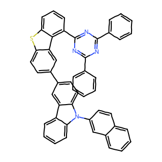 c1ccc(-c2nc(-c3ccccc3)nc(-c3cccc4sc5ccc(-c6ccc7c(c6)c6ccccc6n7-c6ccc7ccccc7c6)cc5c34)n2)cc1